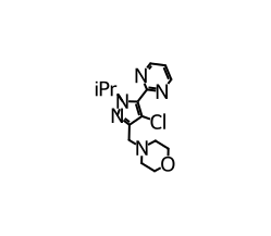 CC(C)n1nc(CN2CCOCC2)c(Cl)c1-c1ncccn1